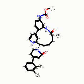 COC(=O)Nc1ccc2c(c1)NC(=O)[C@H](C)CCC[C@H](N1CCC(c3cccc(C)c3C)=CC1=O)c1cc-2ccn1